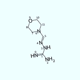 N=C(N)NN=CN1CCOCC1